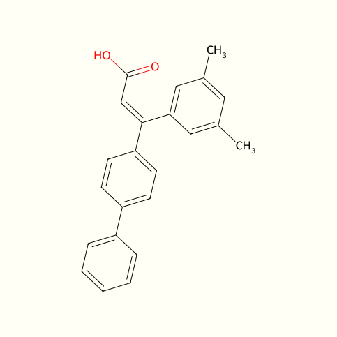 Cc1cc(C)cc(/C(=C\C(=O)O)c2ccc(-c3ccccc3)cc2)c1